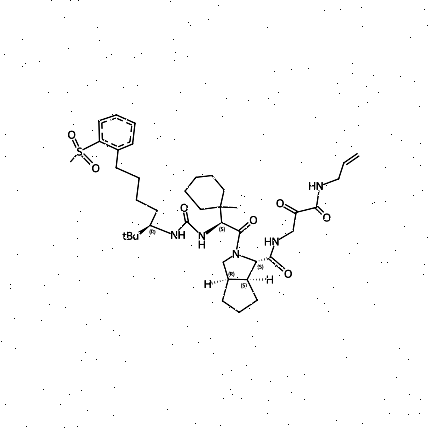 C=CCNC(=O)C(=O)CNC(=O)[C@@H]1[C@H]2CCC[C@H]2CN1C(=O)[C@@H](NC(=O)N[C@H](CCCCc1ccccc1S(C)(=O)=O)C(C)(C)C)C1(C)CCCCC1